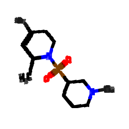 CC1C=C(C(C)(C)C)CCN1S(=O)(=O)C1CCCN(C(C)(C)C)C1